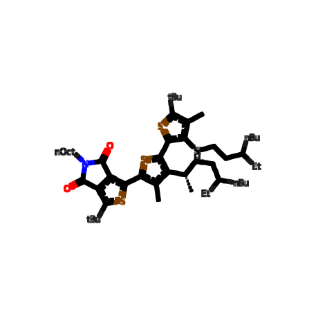 CCCCCCCCN1C(=O)c2c(-c3sc(-c4sc(C(C)(C)C)c(C)c4[SiH2]CCC(CC)CCCC)c([C@@H](C)CCC(CC)CCCC)c3C)sc(C(C)(C)C)c2C1=O